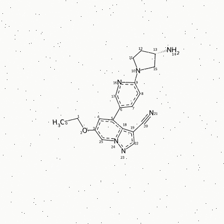 CCOc1cc(-c2ccc(N3CC[C@H](N)C3)nc2)c2c(C#N)cnn2c1